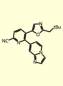 CC(C)(C)Cc1ncc(-c2ccc(C#N)nc2-c2ccn3ccnc3c2)o1